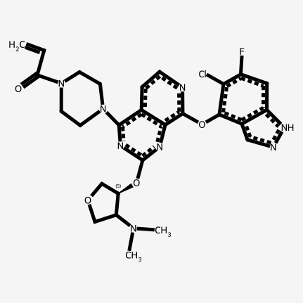 C=CC(=O)N1CCN(c2nc(O[C@@H]3COCC3N(C)C)nc3c(Oc4c(Cl)c(F)cc5[nH]ncc45)nccc23)CC1